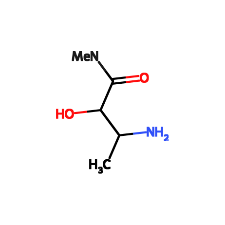 CNC(=O)C(O)C(C)N